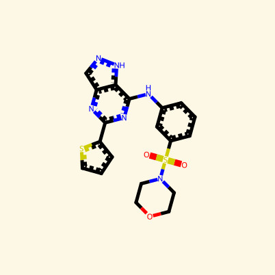 O=S(=O)(c1cccc(Nc2nc(-c3cccs3)nc3cn[nH]c23)c1)N1CCOCC1